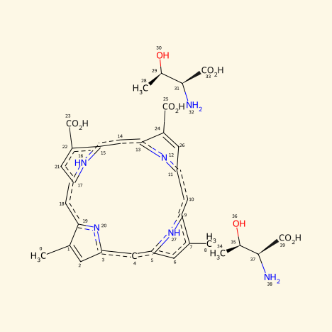 CC1=Cc2cc3cc(C)c(cc4nc(cc5[nH]c(cc1n2)cc5C(=O)O)C(C(=O)O)=C4)[nH]3.C[C@@H](O)[C@H](N)C(=O)O.C[C@@H](O)[C@H](N)C(=O)O